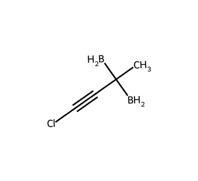 BC(B)(C)C#CCl